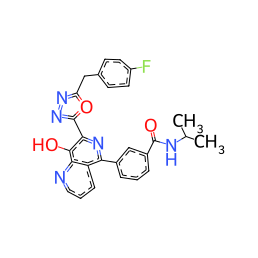 CC(C)NC(=O)c1cccc(-c2nc(-c3nnc(Cc4ccc(F)cc4)o3)c(O)c3ncccc23)c1